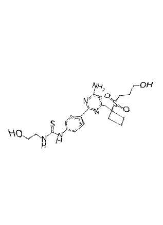 Nc1cc(C2(S(=O)(=O)CCCO)CCC2)nc(-c2ccc(NC(=S)NCCO)cc2)n1